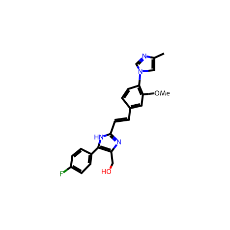 COc1cc(/C=C/c2nc(CO)c(-c3ccc(F)cc3)[nH]2)ccc1-n1cnc(C)c1